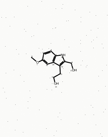 COc1ccc2[nH]c(CO)c(CCO)c2c1